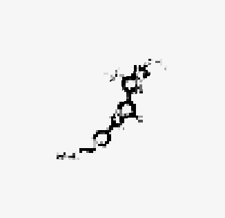 COCCN1CCC(c2cn3cc(-c4cc(C)c5nc(C)cn5n4)cc(F)c3n2)CC1